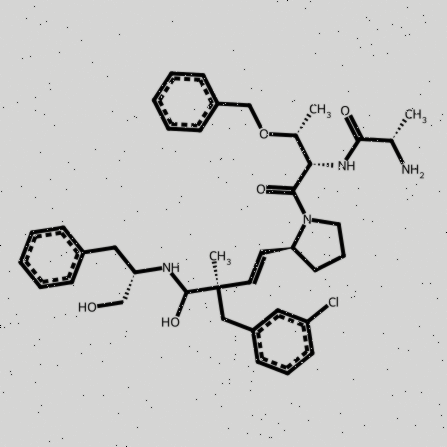 C[C@H](N)C(=O)N[C@H](C(=O)N1CCC[C@H]1/C=C/[C@@](C)(Cc1cccc(Cl)c1)C(O)N[C@H](CO)Cc1ccccc1)[C@@H](C)OCc1ccccc1